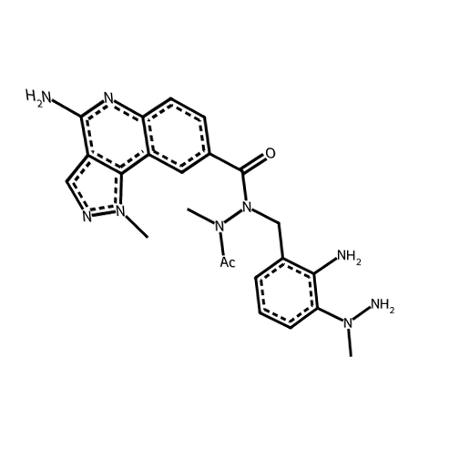 CC(=O)N(C)N(Cc1cccc(N(C)N)c1N)C(=O)c1ccc2nc(N)c3cnn(C)c3c2c1